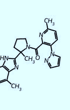 Cc1ccc(-n2cccn2)c(C(=O)N2CCCC2(C)c2nc3c(C)c(Cl)ccc3[nH]2)n1